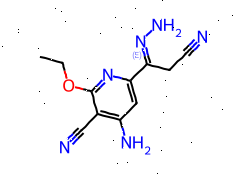 CCOc1nc(/C(CC#N)=N/N)cc(N)c1C#N